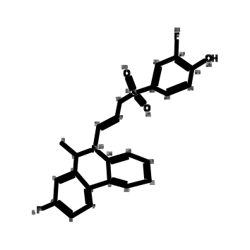 CC1c2cc(F)ccc2-c2ccccc2N1C=CCS(=O)(=O)c1ccc(O)c(F)c1